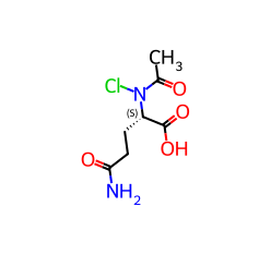 CC(=O)N(Cl)[C@@H](CCC(N)=O)C(=O)O